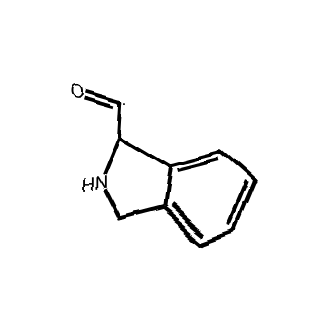 O=[C]C1NCc2ccccc21